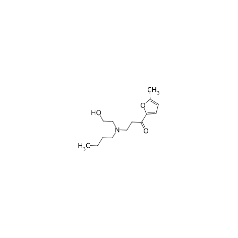 CCCCN(CCO)CCC(=O)c1ccc(C)o1